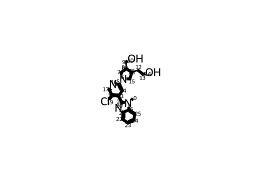 Cn1c(-c2cc(N3C[C@@H](CO)[C@@H](CCO)C3)ncc2Cl)nc2ccccc21